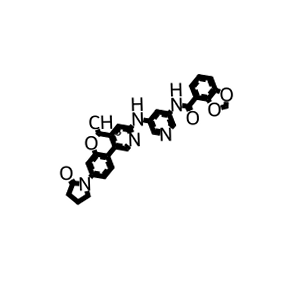 CC1Oc2cc(N3CCCC3=O)ccc2-c2cnc(Nc3cncc(NC(=O)c4cccc5c4OCO5)c3)cc21